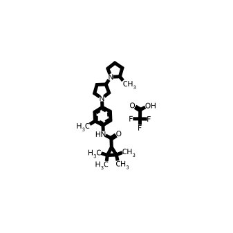 Cc1cc(N2CCC(N3CCCC3C)C2)ccc1NC(=O)C1C(C)(C)C1(C)C.O=C(O)C(F)(F)F